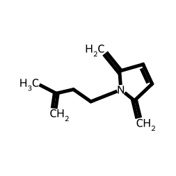 C=C(C)CCn1c(=C)ccc1=C